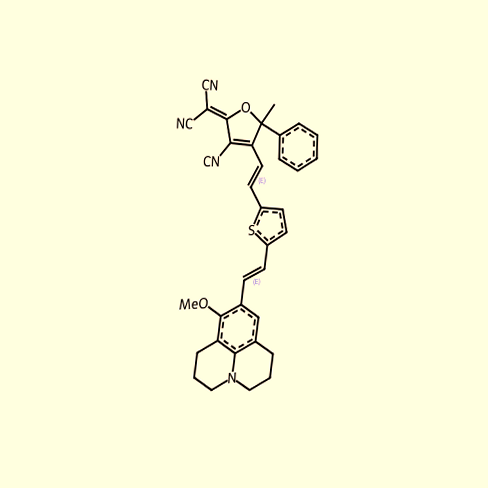 [C-]#[N+]C1=C(/C=C/c2ccc(/C=C/c3cc4c5c(c3OC)CCCN5CCC4)s2)C(C)(c2ccccc2)OC1=C(C#N)C#N